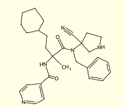 CC(CCC1CCCCC1)(NC(=O)c1ccncc1)C(=O)N(Cc1ccccc1)C1(C#N)CCNC1